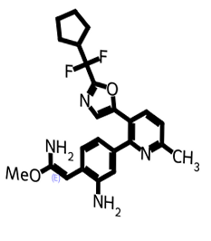 CO/C(N)=C/c1ccc(-c2nc(C)ccc2-c2cnc(C(F)(F)C3CCCC3)o2)cc1N